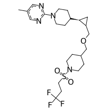 Cc1cnc(N2CCC([C@H]3CC3COCC3CCN(S(=O)(=O)CCC(F)(F)F)CC3)CC2)nc1